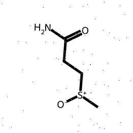 C[S+]([O-])CCC(N)=O